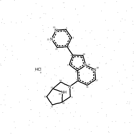 Cl.c1cc(-c2cc3c(N4CC5CCC(C4)N5)ccnn3c2)cnn1